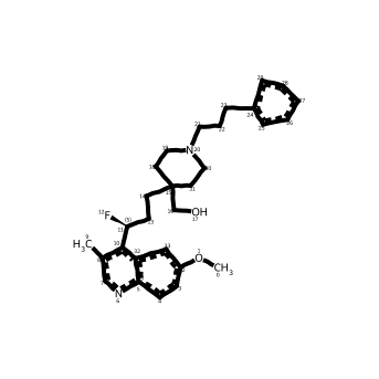 COc1ccc2ncc(C)c([C@@H](F)CCC3(CO)CCN(CCCc4ccccc4)CC3)c2c1